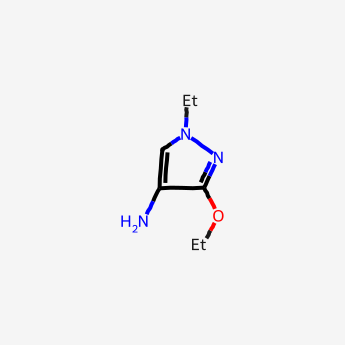 CCOc1nn(CC)cc1N